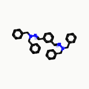 C(=N\N(Cc1ccccc1)Cc1ccccc1)/c1cccc(/C=N/N(Cc2ccccc2)Cc2ccccc2)c1